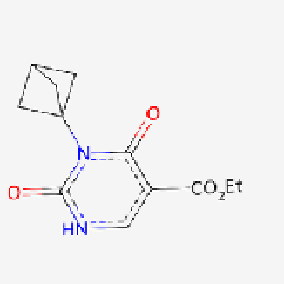 CCOC(=O)c1c[nH]c(=O)n(C23CC(C2)C3)c1=O